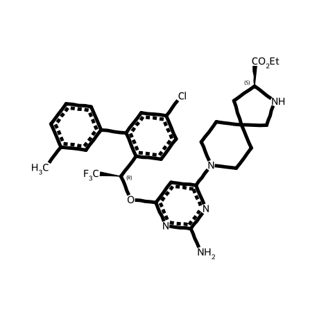 CCOC(=O)[C@@H]1CC2(CCN(c3cc(O[C@H](c4ccc(Cl)cc4-c4cccc(C)c4)C(F)(F)F)nc(N)n3)CC2)CN1